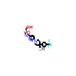 C#CC1(c2ccc(C(F)(F)F)cc2)CCN(c2ccc(-c3nnc(CO)o3)nn2)CC1